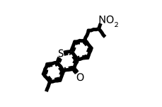 Cc1ccc2sc3cc(CC(C)[N+](=O)[O-])ccc3c(=O)c2c1